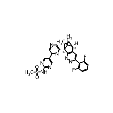 CC1(C)[C@H]2CC[C@]1(c1cncc(-c3cnc(NS(C)(=O)=O)nc3)n1)c1nnc(-c3c(F)cccc3F)cc12